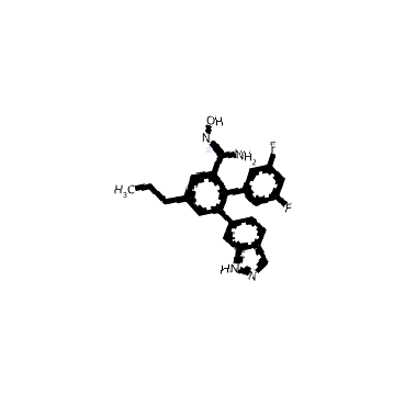 CCCc1cc(/C(N)=N/O)c(-c2cc(F)cc(F)c2)c(-c2ccc3cn[nH]c3c2)c1